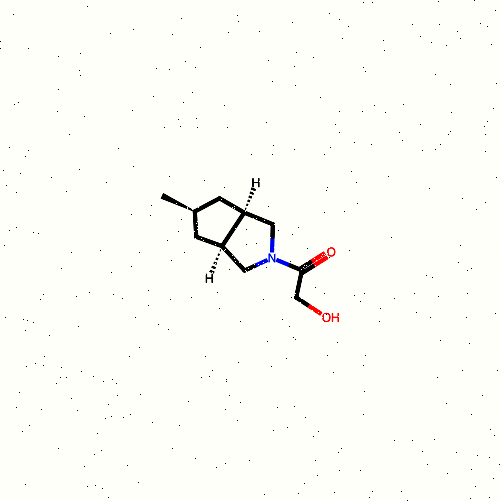 C[C@@H]1C[C@@H]2CN(C(=O)CO)C[C@@H]2C1